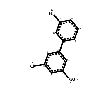 CSc1cc(Cl)cc(-c2cccc(Br)c2)c1